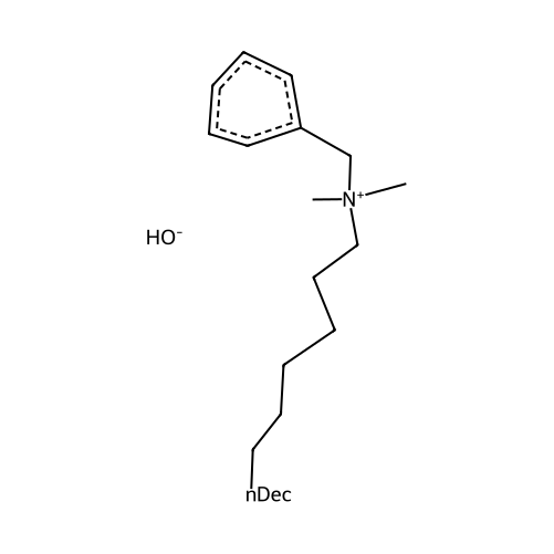 CCCCCCCCCCCCCCCC[N+](C)(C)Cc1ccccc1.[OH-]